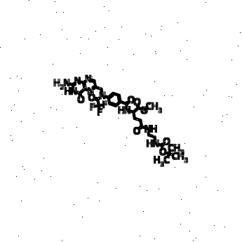 COC(=O)C(CCC(=O)NCCNC(=O)OC(C)(C)C)NC(=O)c1ccc(N(Cc2cnc3nc(N)[nH]c(=O)c3n2)C(=O)C(F)(F)F)cc1